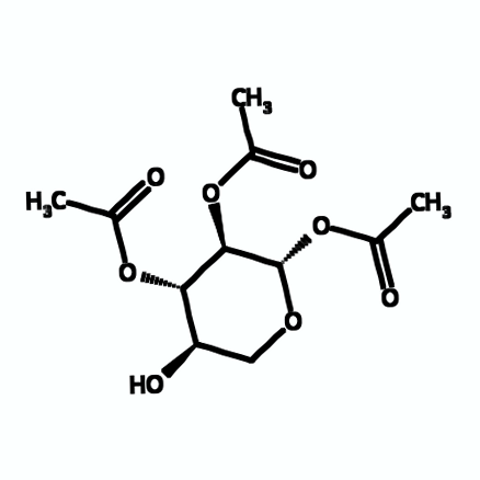 CC(=O)O[C@@H]1OC[C@@H](O)[C@H](OC(C)=O)[C@H]1OC(C)=O